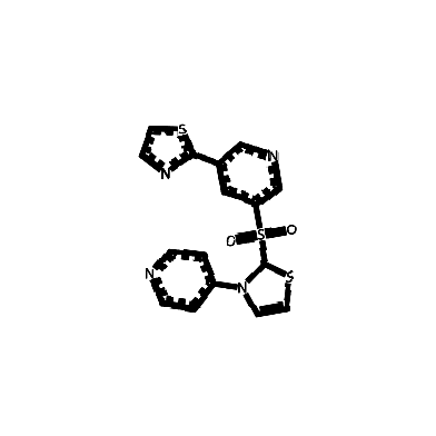 O=S(=O)(c1cncc(-c2nccs2)c1)C1SC=CN1c1ccncc1